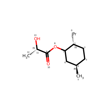 CC(C)[C@@H]1CC[C@@H](C)CC1OC(=O)[C@H](C)O